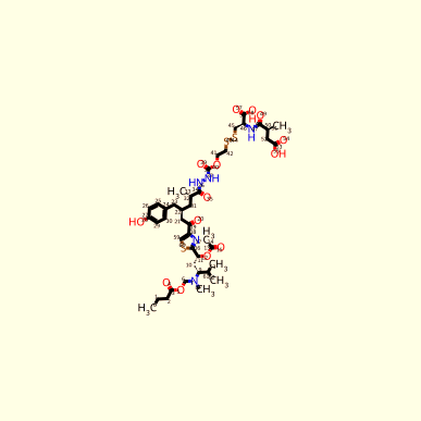 CCCC(=O)OCN(C)[C@H](C[C@@H](OC(C)=O)c1nc(C(=O)C[C@@H](Cc2ccc(O)cc2)C[C@H](C)C(=O)NNC(=O)OCCSSC[C@H](NC(=O)[C@@H](C)CC(=O)O)C(=O)O)cs1)C(C)C